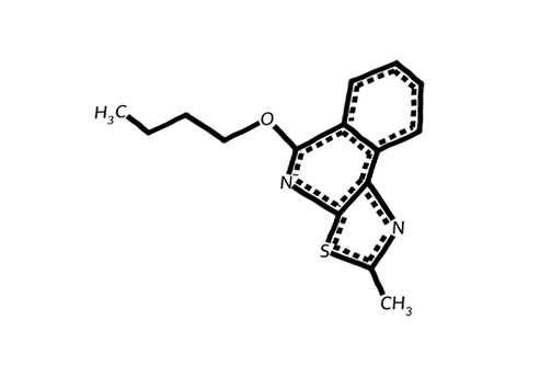 CCCCOc1nc2sc(C)nc2c2ccccc12